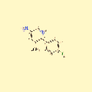 Cc1cc(N)cnc1-c1ccc(Cl)cc1